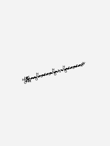 [N-]=[N+]=NCCOCCOCCOCCC(=O)NCCSSCCC(=O)NCCOCCOCCOCCNC(=O)CCCC[C@@H]1SC[C@@H]2NC(=O)N[C@@H]21